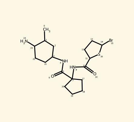 CC1CC(NC(=O)C2(NC(=O)C3CCC(Br)S3)CCCC2)CCC1N